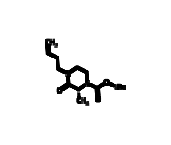 C=CCCN1CCN(C(=O)OC(C)(C)C)[C@H](C)C1=O